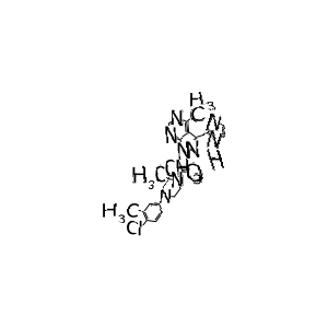 Cc1cc(N2CCN(C(=O)Cn3nc(-c4ncc[nH]4)c4c(C)ncnc43)C(C)(C)C2)ccc1Cl